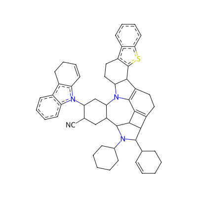 N#CC1CC2C(CC1n1c3c(c4ccccc41)CCC=C3)N1C3=C(CCC4=C3C3C4C(C4C=CCCC4)N(C4CCCCC4)C23)C2c3sc4ccccc4c3CCC21